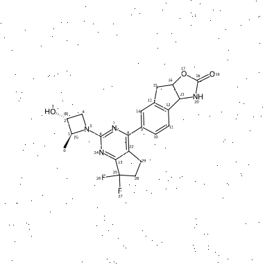 C[C@H]1[C@H](O)CN1c1nc(-c2ccc3c(c2)CC2OC(=O)NC32)c2c(n1)C(F)(F)CC2